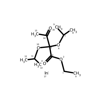 CCOC(=O)C(OC(C)C)(OC(C)C)C(C)=O.[In]